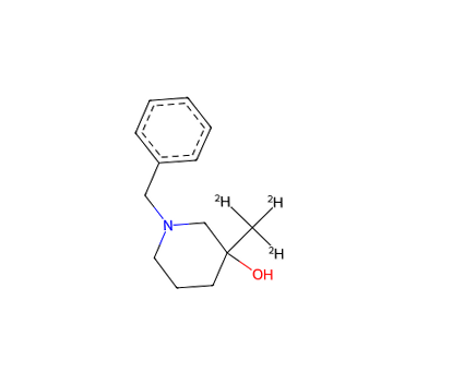 [2H]C([2H])([2H])C1(O)CCCN(Cc2ccccc2)C1